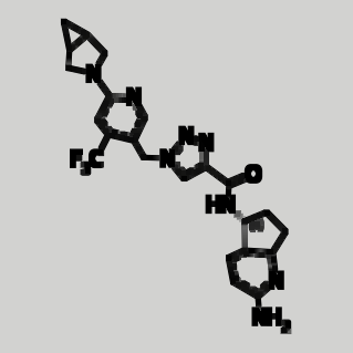 Nc1ccc2c(n1)CC[C@H]2NC(=O)c1cn(Cc2cnc(N3CC4CC4C3)cc2C(F)(F)F)nn1